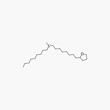 CCCCCCCCC[S+](C)CCCCCCCCC1CCCO1